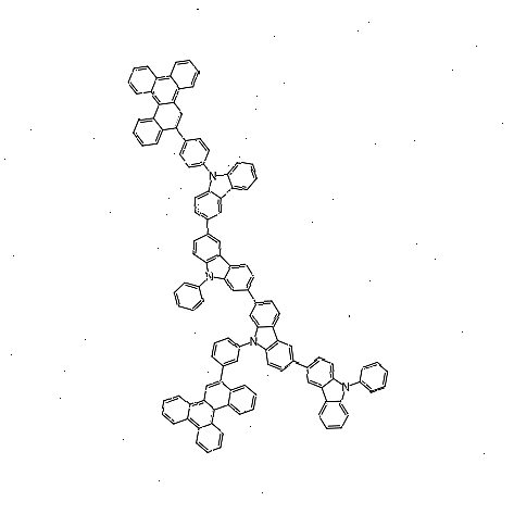 c1ccc(-n2c3ccccc3c3cc(-c4ccc5c(c4)c4ccc(-c6ccc7c8cc(-c9ccc%10c(c9)c9ccccc9n%10-c9ccc(-c%10cc%11c%12ccccc%12c%12ccccc%12c%11c%11ccccc%10%11)cc9)ccc8n(-c8ccccc8)c7c6)cc4n5-c4cccc(-c5cc6c7ccccc7c7ccccc7c6c6ccccc56)c4)ccc32)cc1